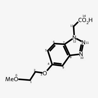 COCCOc1ccc2c(c1)nnn2CC(=O)O